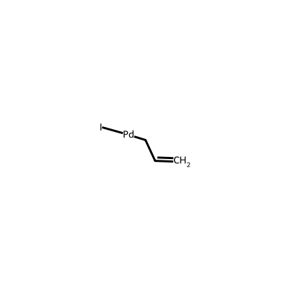 C=C[CH2][Pd][I]